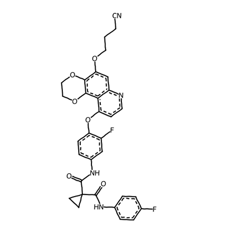 N#CCCCOc1cc2nccc(Oc3ccc(NC(=O)C4(C(=O)Nc5ccc(F)cc5)CC4)cc3F)c2c2c1OCCO2